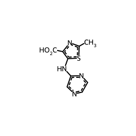 Cc1nc(C(=O)O)c(Nc2cnccn2)s1